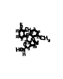 Cc1cccc(F)c1-n1ncc(CC(=O)NO)c1CCc1cccc(F)c1C